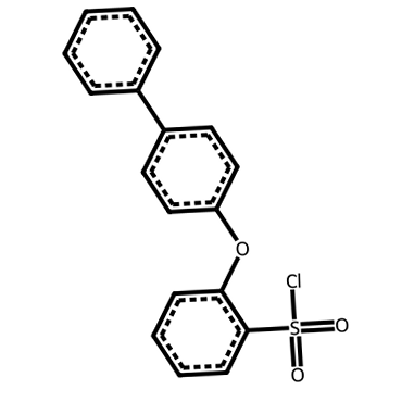 O=S(=O)(Cl)c1ccccc1Oc1ccc(-c2ccccc2)cc1